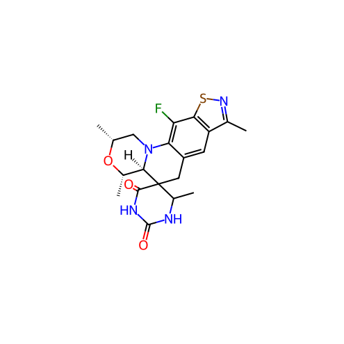 Cc1nsc2c(F)c3c(cc12)CC1(C(=O)NC(=O)NC1C)[C@H]1[C@H](C)O[C@H](C)CN31